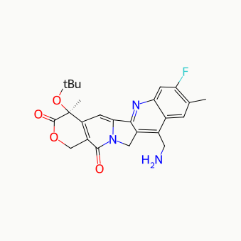 Cc1cc2c(CN)c3c(nc2cc1F)-c1cc2c(c(=O)n1C3)COC(=O)[C@@]2(C)OC(C)(C)C